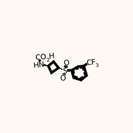 O=C(O)N[C@H]1C[C@H](S(=O)(=O)c2cccc(C(F)(F)F)c2)C1